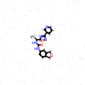 CC(C)C(NC(=O)Nc1ccc2c(c1)COC2)c1nc(-c2cccnc2)no1